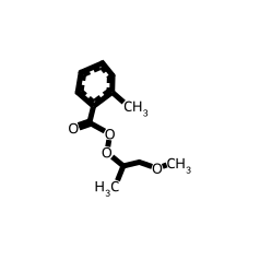 COC[C](C)OOC(=O)c1ccccc1C